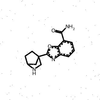 NC(=O)c1cccc2nc(C34CCC(C3)NC4)oc12